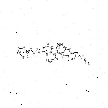 C=CCNC(=O)Nc1ccc(-c2c(N)c3ccc(OCCCN4CCOCC4)cc3n2CC)cc1